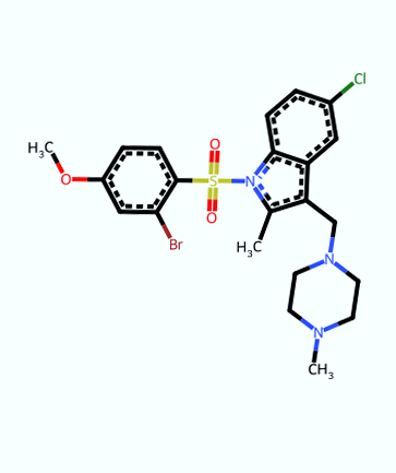 COc1ccc(S(=O)(=O)n2c(C)c(CN3CCN(C)CC3)c3cc(Cl)ccc32)c(Br)c1